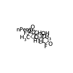 CCCCCC(=O)O[C@@]1(C(=O)CF)C(C)C[C@H]2[C@@H]3CCC4=C(F)C(=O)C=C[C@]4(C)[C@@]3(Cl)[C@@H](O)C[C@@]21C